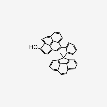 CC1(c2ccccc2-c2cc3ccc(O)c4ccc5cccc2c5c34)c2cccc3ccc4cccc1c4c23